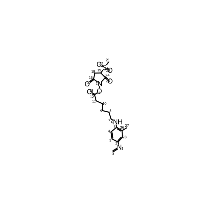 C=Nc1ccc(NCCCCCC(=O)ON2C(=O)CC(S(C)(=O)=O)C2=O)c(C)c1